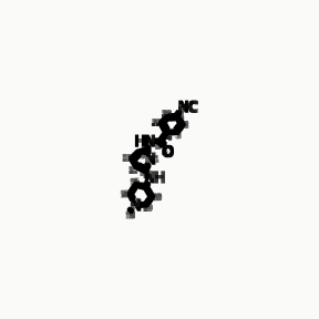 [C-]#[N+]c1ccc(C(=O)Nc2cccc(NC3CCN(C)CC3)n2)cc1